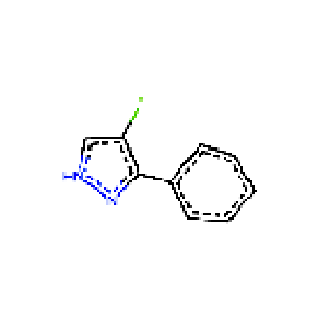 Fc1c[nH]nc1-c1ccccc1